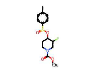 Cc1ccc(S(=O)OC2CCN(C(=O)OC(C)(C)C)CC2F)cc1